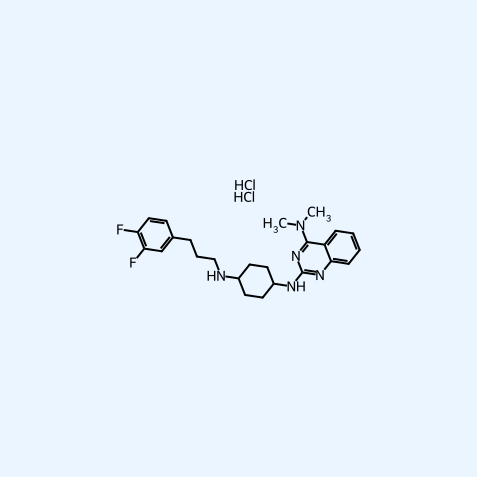 CN(C)c1nc(NC2CCC(NCCCc3ccc(F)c(F)c3)CC2)nc2ccccc12.Cl.Cl